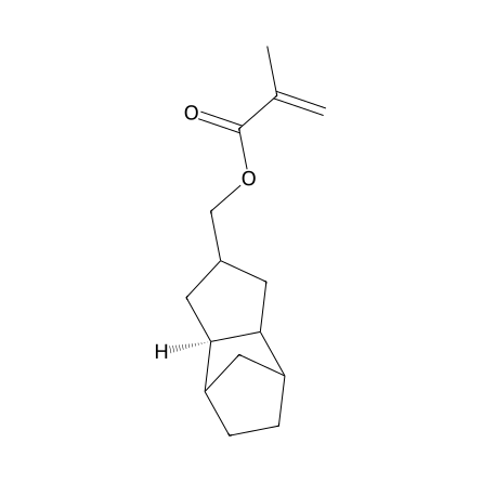 C=C(C)C(=O)OCC1CC2C3CCC(C3)[C@H]2C1